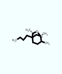 CCCCC12CCC(C)[C@@](C)(C1)O[C@H]2C